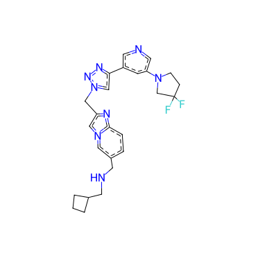 FC1(F)CCN(c2cncc(-c3cn(Cc4cn5cc(CNCC6CCC6)ccc5n4)nn3)c2)C1